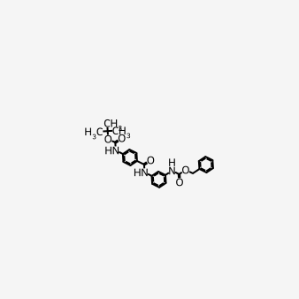 CC(C)(C)OC(=O)Nc1ccc(C(=O)Nc2cccc(NC(=O)OCc3ccccc3)c2)cc1